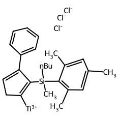 CCCC[Si](C)(C1=[C]([Ti+3])CC=C1c1ccccc1)c1c(C)cc(C)cc1C.[Cl-].[Cl-].[Cl-]